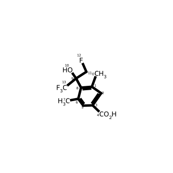 Cc1cc(C(=O)O)cc(C)c1C(O)(CF)C(F)(F)F